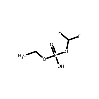 CCOP(=O)(O)OC(F)F